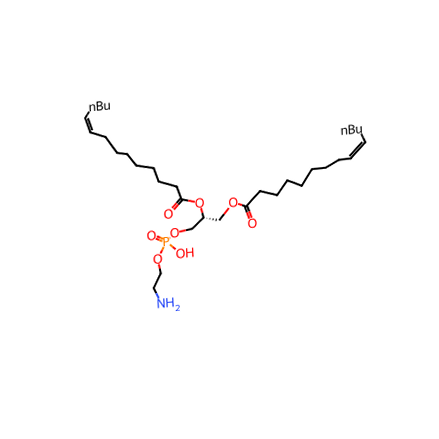 CCCC/C=C\CCCCCCCC(=O)OC[C@H](COP(=O)(O)OCCN)OC(=O)CCCCCCC/C=C\CCCC